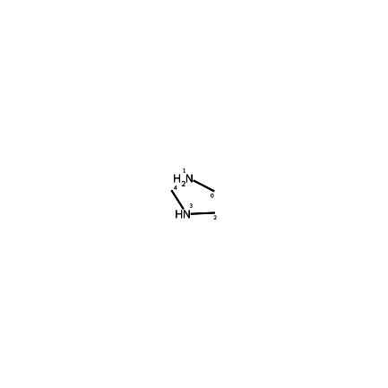 CN.CNC